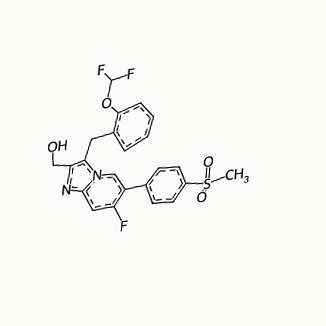 CS(=O)(=O)c1ccc(-c2cn3c(Cc4ccccc4OC(F)F)c(CO)nc3cc2F)cc1